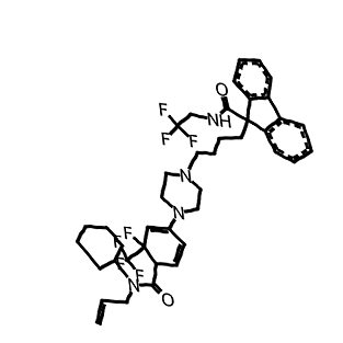 C=CCN(C(=O)C1C=CC(N2CCN(CCCCC3(C(=O)NCC(F)(F)F)c4ccccc4-c4ccccc43)CC2)=CC1(F)C(F)(F)F)C1CCCCC1